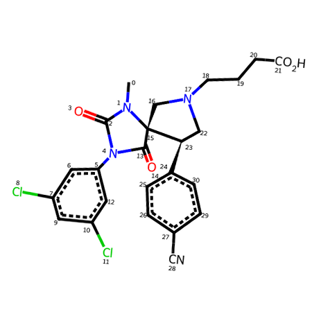 CN1C(=O)N(c2cc(Cl)cc(Cl)c2)C(=O)[C@]12CN(CCCC(=O)O)C[C@H]2c1ccc(C#N)cc1